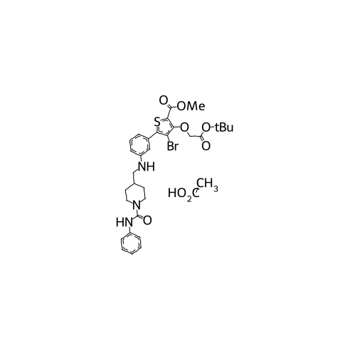 CC(=O)O.COC(=O)c1sc(-c2cccc(NCC3CCN(C(=O)Nc4ccccc4)CC3)c2)c(Br)c1OCC(=O)OC(C)(C)C